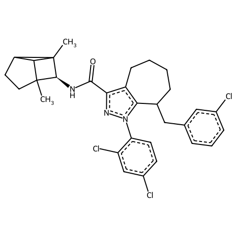 CC12CCC3C1C3(C)[C@H]2NC(=O)c1nn(-c2ccc(Cl)cc2Cl)c2c1CCCCC2Cc1cccc(Cl)c1